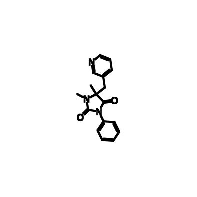 CN1C(=O)N(c2ccccc2)C(=O)C1(C)Cc1cccnc1